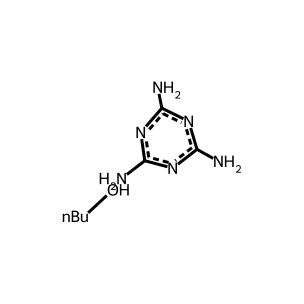 CCCCO.Nc1nc(N)nc(N)n1